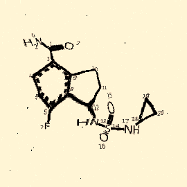 NC(=O)c1ccc(F)c2c1CCC2NS(=O)(=O)NC1CC1